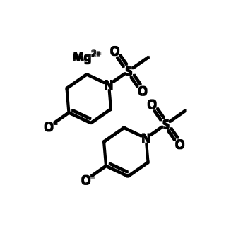 CS(=O)(=O)N1CC=C([O-])CC1.CS(=O)(=O)N1CC=C([O-])CC1.[Mg+2]